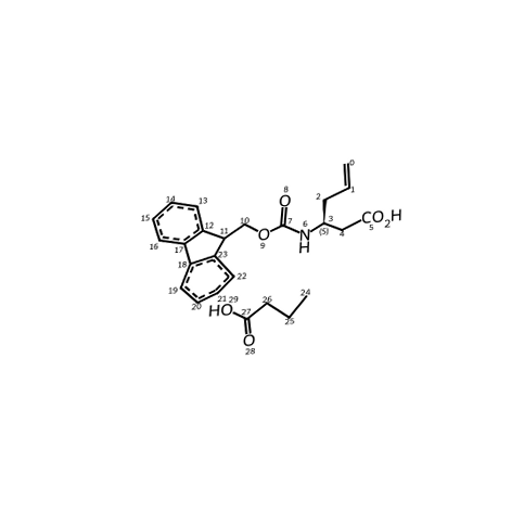 C=CC[C@@H](CC(=O)O)NC(=O)OCC1c2ccccc2-c2ccccc21.CCCC(=O)O